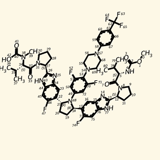 COC(=O)N[C@H](C(=O)N1CCC[C@H]1c1nc2cc([C@H]3CC[C@H](c4cc5nc([C@@H]6CCCN6C(=O)[C@H](C(C)C)N(C)C(=O)O)[nH]c5cc4F)N3c3cc(F)c(N4CCN(c5ccc(C(F)(F)F)cc5)CC4)c(F)c3)c(F)cc2[nH]1)C(C)C